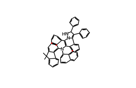 CC1(C)c2ccccc2-c2c(N(C3=C(c4ccccc4)N4NC(c5ccccc5)C(c5ccccc5)=C4c4ccccc43)c3cccc4ccccc34)cccc21